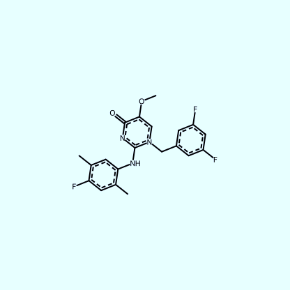 COc1cn(Cc2cc(F)cc(F)c2)c(Nc2cc(C)c(F)cc2C)nc1=O